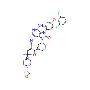 CC(C)(/C=C(/C#N)C(=O)N1CCC[C@@H](n2c(=O)n(-c3ccc(Oc4c(F)cccc4F)cc3)c3c(N)nccc32)C1)N1CCN(C2COC2)CC1